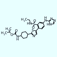 CCNS(=O)(=O)c1cc(Nc2nnc[nH]2)ccc1-c1cnc(C2CCC(NC(=O)OC(C)C)CC2)s1